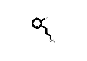 CCC=Cc1ccccc1Br